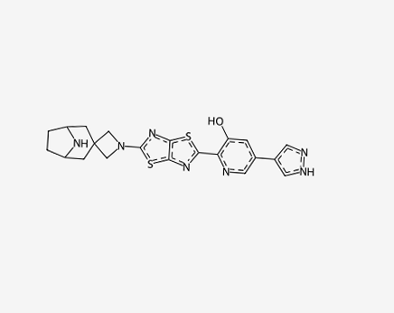 Oc1cc(-c2cn[nH]c2)cnc1-c1nc2sc(N3CC4(CC5CCC(C4)N5)C3)nc2s1